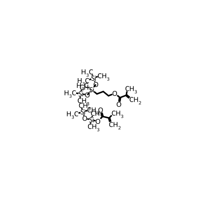 C=C(C)C(=O)OCCC[Si](C)(O[Si](C)(C)C)O[Si](C)(C)C.C=C(C)C(=O)O[Si](C)(C)O[Si](C)(C)C